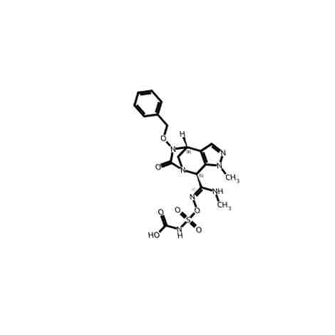 CN/C(=N\OS(=O)(=O)NC(=O)O)[C@@H]1c2c(cnn2C)[C@@H]2CN1C(=O)N2OCc1ccccc1